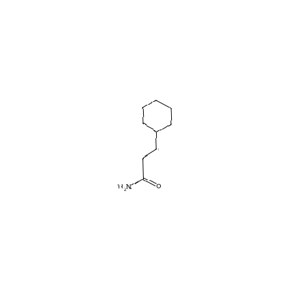 NC(=O)C[CH]C1CCCCC1